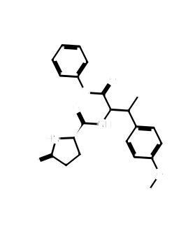 COc1ccc(C(C)C(NC(=O)[C@H]2CCC(=O)N2)C(=O)Oc2ccccc2)cc1